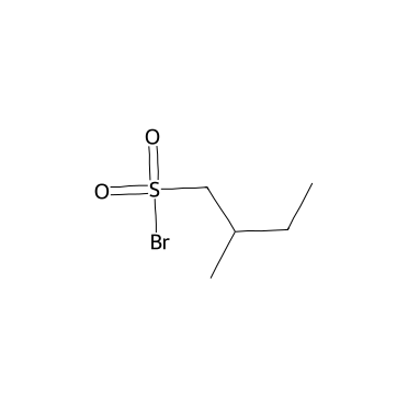 CCC(C)CS(=O)(=O)Br